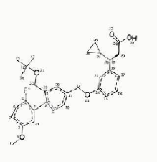 COc1ccc(F)c(-c2ccc(COc3cccc([C@H](CC(=O)O)C4CC4)c3)cc2COC(C)(C)C)c1